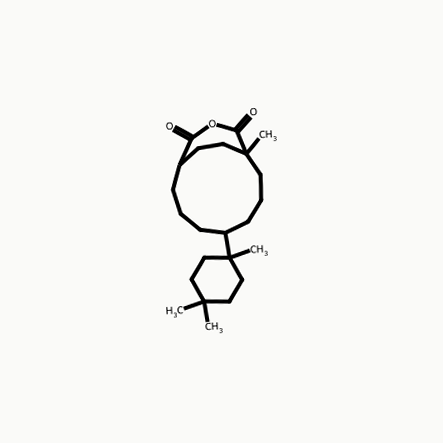 CC1(C)CCC(C)(C2CCCC3CCC(C)(CCC2)C(=O)OC3=O)CC1